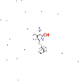 N#Cc1c(O)nc(SCC23CC4CC(CC(C4)C2)C3)c2c1CCCC2